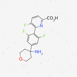 NC1(c2cc(F)c(-c3nc(C(=O)O)ccc3F)c(F)c2)CCOCC1